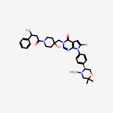 CC1(C)CN(C(=O)O)[C@@H](c2ccc(-n3c(Cl)cc4c(=O)n(CC5(O)CCN(C(=O)CC(c6ccccc6)C(F)(F)F)CC5)cnc43)cc2)CO1